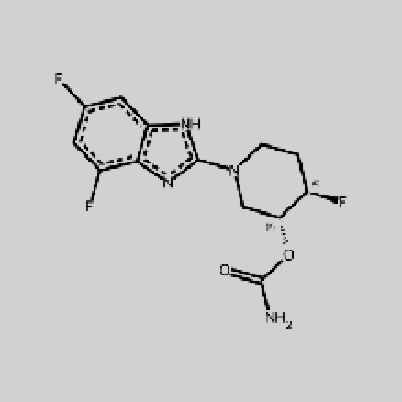 NC(=O)O[C@@H]1CN(c2nc3c(F)cc(F)cc3[nH]2)CC[C@H]1F